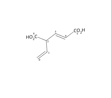 C=CC(C=CC(=O)O)C(=O)O